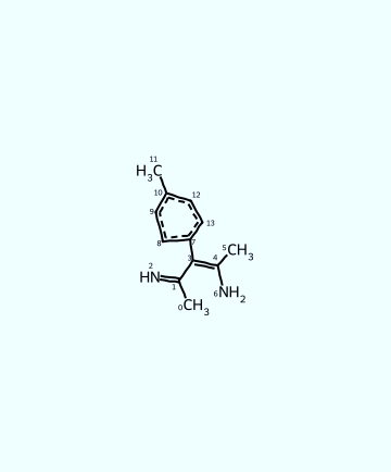 CC(=N)/C(=C(/C)N)c1ccc(C)cc1